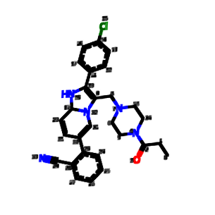 CCC(=O)N1CCN(CC2=C(c3ccc(Cl)cc3)NC3C=CC(c4ccccc4C#N)=CN23)CC1